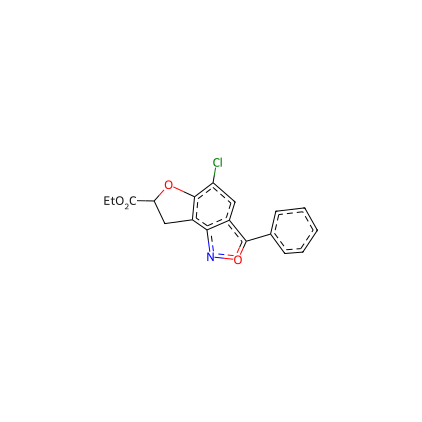 CCOC(=O)C1Cc2c(c(Cl)cc3c(-c4ccccc4)onc23)O1